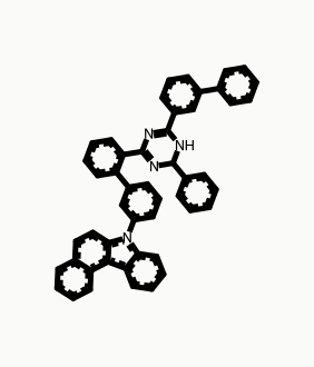 c1ccc(-c2cccc(C3=NC(c4ccccc4-c4cccc(-n5c6ccccc6c6c7ccccc7ccc65)c4)=NC(c4ccccc4)N3)c2)cc1